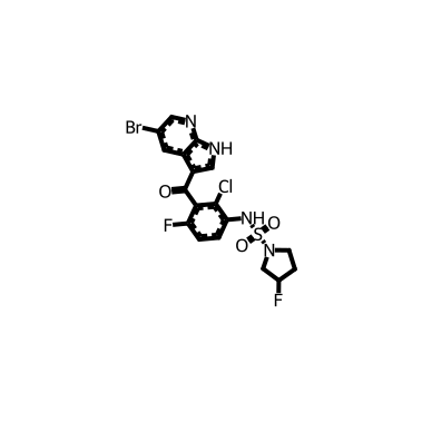 O=C(c1c(F)ccc(NS(=O)(=O)N2CCC(F)C2)c1Cl)c1c[nH]c2ncc(Br)cc12